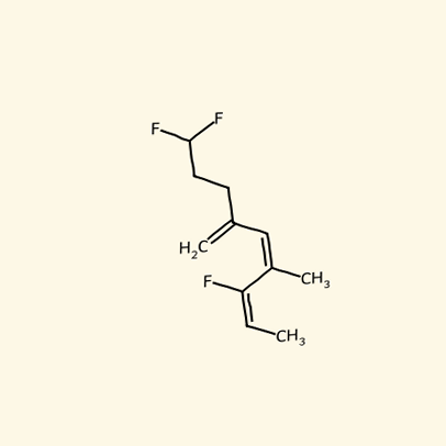 C=C(/C=C(C)\C(F)=C/C)CCC(F)F